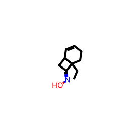 CCC12CCC=CC1CC2=NO